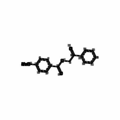 COc1ccc(C(=O)OCC(=O)c2ccccc2)cc1